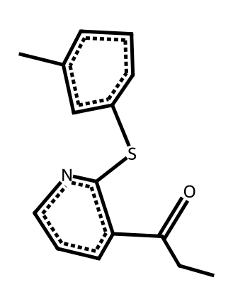 CCC(=O)c1cccnc1Sc1cccc(C)c1